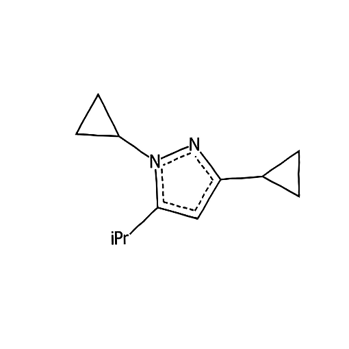 CC(C)c1cc(C2CC2)nn1C1CC1